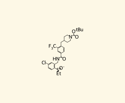 CC[S+]([O-])c1ccc(Cl)cc1CNC(=O)c1ccc(CC2CCN(C(=O)OC(C)(C)C)CC2)c(C(F)(F)F)c1